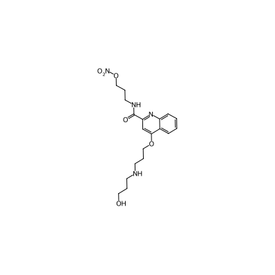 O=C(NCCCO[N+](=O)[O-])c1cc(OCCCNCCCO)c2ccccc2n1